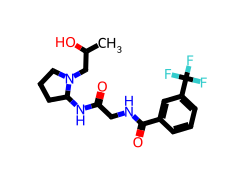 CC(O)CN1CCCC1NC(=O)CNC(=O)c1cccc(C(F)(F)F)c1